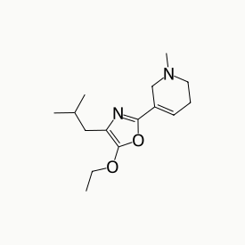 CCOc1oc(C2=CCCN(C)C2)nc1CC(C)C